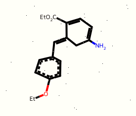 CCOC(=O)C1=CC=C(N)CC1=Cc1ccc(OCC)cc1